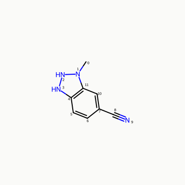 CN1NNc2ccc(C#N)cc21